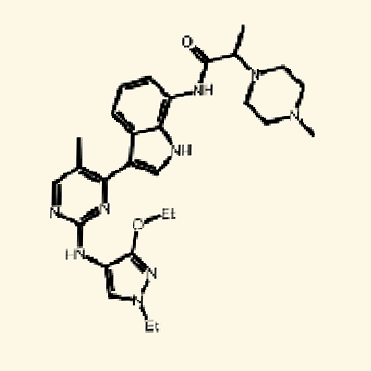 CCOc1nn(CC)cc1Nc1ncc(C)c(-c2c[nH]c3c(NC(=O)C(C)N4CCN(C)CC4)cccc23)n1